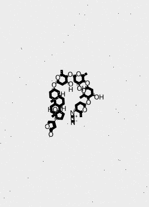 CC1O[C@@H](OC2C(C)O[C@@H](OC3C(C)O[C@@H](O[C@H]4CCC5(C)C6CCC7(C)[C@@H](C8=CC(=O)OC8)CC[C@]7(O)[C@@H]6CC[C@@H]5C4)C[C@H]3O)C[C@H]2O)C[C@@H](O)C1O[C@H]1CC[C@@H](N=[N+]=[N-])C(C)O1